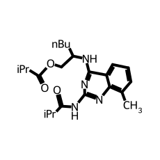 CCCCC(COC(=O)C(C)C)Nc1nc(NC(=O)C(C)C)nc2c(C)cccc12